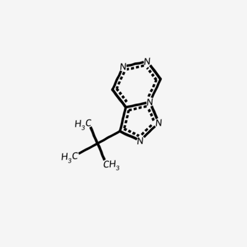 CC(C)(C)c1nnn2cnncc12